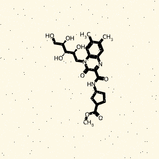 COC(=O)C1CCC(NC(=O)c2nc3cc(C)c(C)cc3n(C[C@H](O)[C@H](O)[C@H](O)CO)c2=O)C1